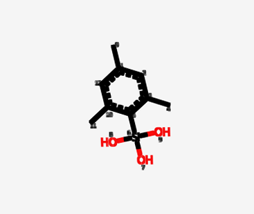 Cc1cc(C)c([Si](O)(O)O)c(C)c1